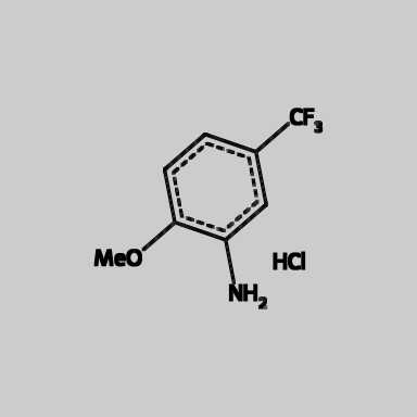 COc1ccc(C(F)(F)F)cc1N.Cl